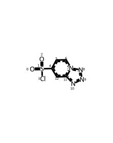 O=S(=O)(Cl)c1ccn2nnnc2c1